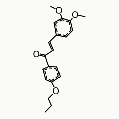 CCCOc1ccc(C(=O)/C=C/c2ccc(OC)c(OC)c2)cc1